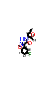 Cc1cc(NC(=O)c2noc3ccc(F)cc23)c(C)o1